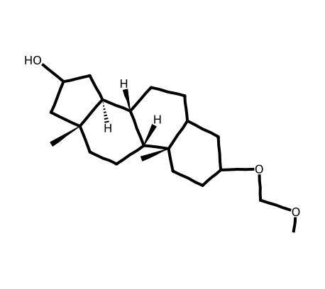 COCOC1CC[C@@]2(C)C(CC[C@@H]3[C@H]2CC[C@]2(C)CC(O)C[C@@H]32)C1